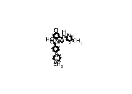 Cc1ccc(NC(=O)c2cc(Cl)cc(O)c2NC(=O)c2ccc(N3CCCN(C)CC3)cc2)nc1